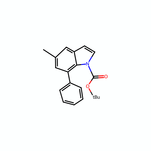 Cc1cc(-c2ccccc2)c2c(ccn2C(=O)OC(C)(C)C)c1